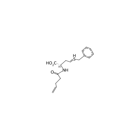 C=CCCC(=O)N[C@@H](CC=[SH]Cc1ccccc1)C(=O)O